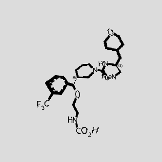 CNC[C@H](CC1CCOCC1)NC(=O)N1CCC[C@@H](C(OCCNC(=O)O)c2cccc(C(F)(F)F)c2)C1